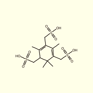 CC1=C(CS(=O)(=O)O)C(C)(C)C(CS(=O)(=O)O)C(C)=C1CS(=O)(=O)O